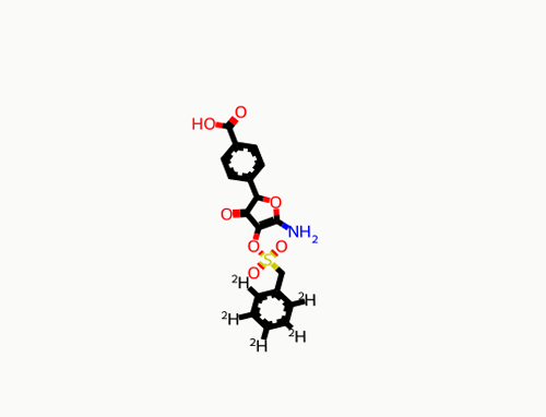 [2H]c1c([2H])c([2H])c(CS(=O)(=O)OC2=C(N)OC(c3ccc(C(=O)O)cc3)C2=O)c([2H])c1[2H]